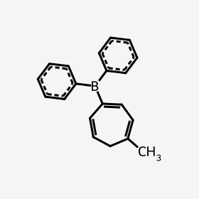 CC1=CC=C(B(c2ccccc2)c2ccccc2)C=CC1